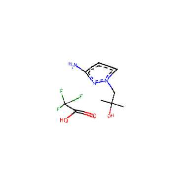 CC(C)(O)Cn1ccc(N)n1.O=C(O)C(F)(F)F